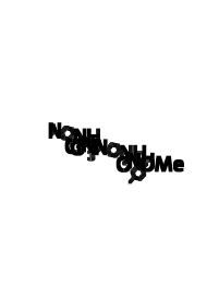 COc1ccc(C)cc1NC(=O)Nc1ccc(N2CCN(C(=O)Nc3ccc(N(C)C)cc3C(F)(F)F)CC2)cc1